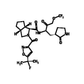 CC(C)(F)c1cc(C(=O)N2C[C@@H]3CCC[C@@H]3[C@H]2C(=O)NC(C[C@@H]2CCNC2=O)C(=O)COC(F)(F)F)no1